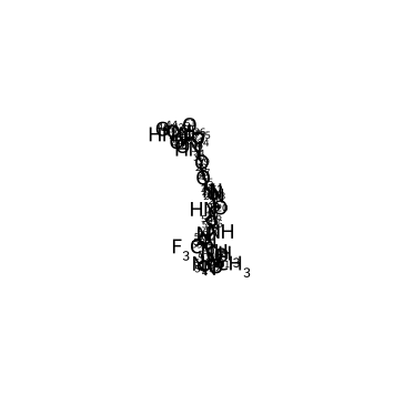 CN(c1nccnc1CNc1nc(Nc2ccc(NC(=O)c3cn(CCOCCOCCNc4cccc5c4C(=O)N(C4CCC(=O)NC4=O)C5=O)nn3)cc2)ncc1C(F)(F)F)S(C)(=O)=O